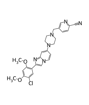 COc1cc(OC)c(-c2cn3ccc(N4CCN(Cc5ccc(C#N)nc5)CC4)cc3n2)cc1Cl